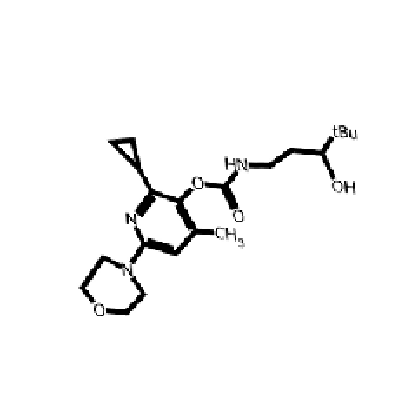 Cc1cc(N2CCOCC2)nc(C2CC2)c1OC(=O)NCCC(O)C(C)(C)C